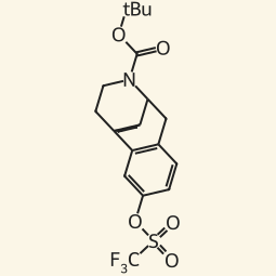 CC(C)(C)OC(=O)N1CCC23CCCCC2C1Cc1ccc(OS(=O)(=O)C(F)(F)F)cc13